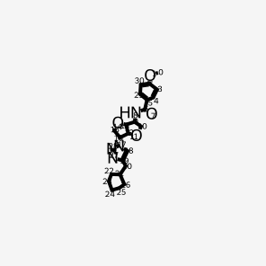 COc1ccc(C(=O)NC2COC3C2OCC3n2cc(CC3CCCCC3)nn2)cc1